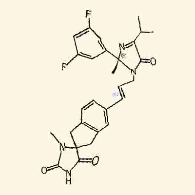 CC(C)C1=N[C@@](C)(c2cc(F)cc(F)c2)N(C/C=C/c2ccc3c(c2)CC2(C3)C(=O)NC(=O)N2C)C1=O